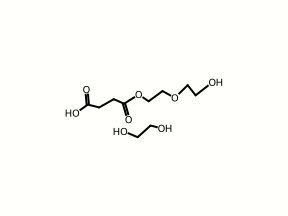 O=C(O)CCC(=O)OCCOCCO.OCCO